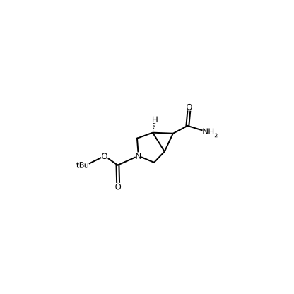 CC(C)(C)OC(=O)N1CC2C(C(N)=O)[C@@H]2C1